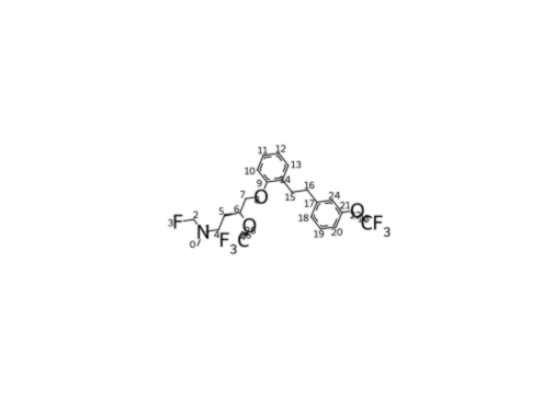 CN(CF)CC[C@@H](COc1ccccc1CCc1cccc(OC(F)(F)F)c1)OC(F)(F)F